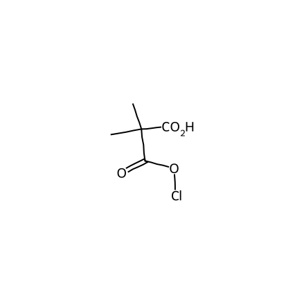 CC(C)(C(=O)O)C(=O)OCl